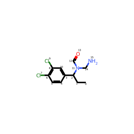 CCC(c1ccc(Cl)c(Cl)c1)N(C=O)CN